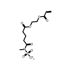 C=CC(=O)OCCOC(=O)CCCC(=O)N(C)S(=O)(=O)C(F)(F)F